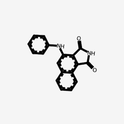 O=C1NC(=O)c2c1c(Nc1ccccc1)cc1ccccc21